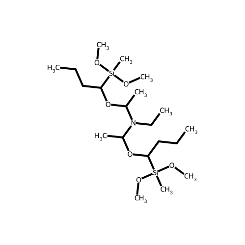 CCCC(OC(C)N(CC)C(C)OC(CCC)[Si](C)(OC)OC)[Si](C)(OC)OC